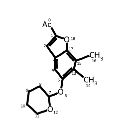 CC(=O)c1cc2cc(OC3CCCCO3)c(C)c(C)c2o1